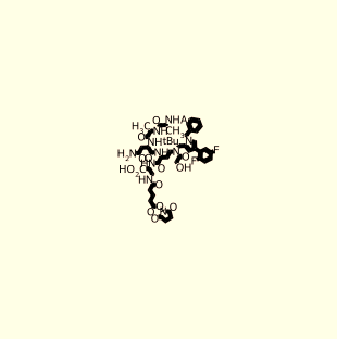 CC(=O)NC(C)C(=O)NC(C)C(=O)NC(CC(N)=O)C(=O)NC(CCN(C(=O)CO)C(c1cc(-c2cc(F)ccc2F)cn1Cc1ccccc1)C(C)(C)C)C(=O)NC(CNC(=O)CCCC(=O)ON1C(=O)CCC1=O)C(=O)O